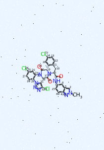 Cn1cc2cc(NC(=O)C(Cc3ccc(Cl)cc3)N3CC(=O)N(c4cc(Cl)ccc4-n4cc(Cl)nn4)CC3=O)ccc2n1